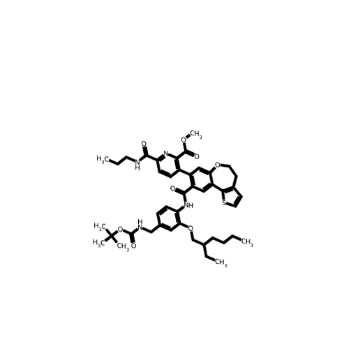 CCCCC(CC)COc1cc(CNC(=O)OC(C)(C)C)ccc1NC(=O)c1cc2c(cc1-c1ccc(C(=O)NCCC)nc1C(=O)OC)OCCc1ccsc1-2